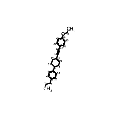 CCCc1ccc(C2CC=C(C#Cc3ccc(OCC)cc3)CC2)cc1